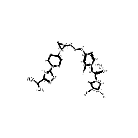 CC(C)c1noc(N2CCC([C@H]3C[C@H]3CCOC3=CC(F)[C@](C)(CC(=O)N4C[C@H](F)[C@@H](F)C4)C=C3)CC2)n1